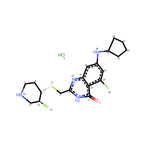 Cl.O=c1[nH]c(CS[C@H]2CCNC[C@@H]2F)nc2cc(NC3CCCC3)cc(F)c12